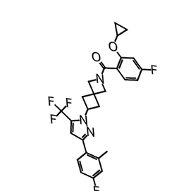 Cc1cc(F)ccc1-c1cc(C(F)(F)F)n(C2CC3(C2)CN(C(=O)c2ccc(F)cc2OC2CC2)C3)n1